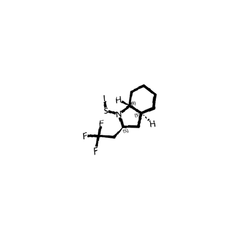 FC(F)(F)C[C@@H]1C[C@@H]2CCCC[C@H]2N1SI